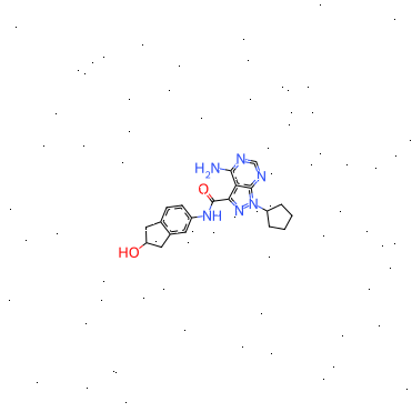 Nc1ncnc2c1c(C(=O)Nc1ccc3c(c1)CC(O)C3)nn2C1CCCC1